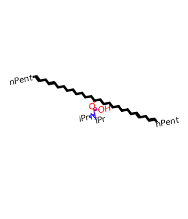 CCCCCC=CCC=CCCCCCCCCC(CCCCCCCCC=CCC=CCCCCC)OP(O)N(C(C)C)C(C)C